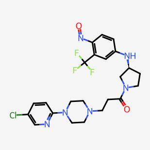 O=Nc1ccc(N[C@H]2CCN(C(=O)CCN3CCN(c4ccc(Cl)cn4)CC3)C2)cc1C(F)(F)F